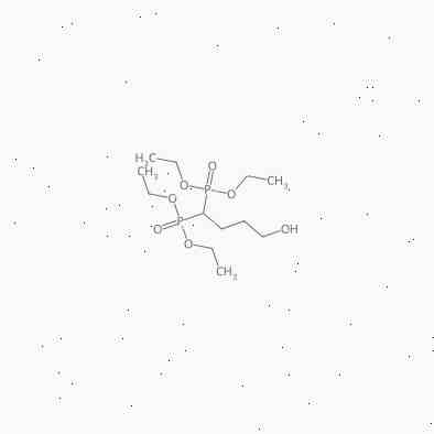 CCOP(=O)(OCC)C(CCCO)P(=O)(OCC)OCC